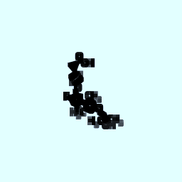 Cc1cc(OCCC(C)(C)O)cc(C)c1-c1cc(COc2cnc([C@H]3C[C@@H]3C(=O)O)cn2)c(F)cc1F